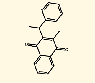 CC1=C(C(C)c2ccccn2)C(=O)c2ccccc2C1=O